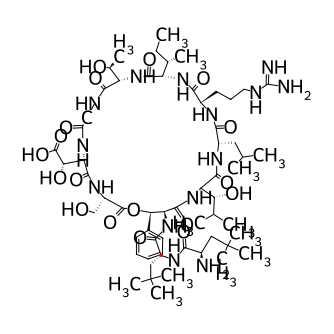 CC[C@H](C)[C@@H]1NC(=O)[C@@H](CCCNC(=N)N)NC(=O)[C@H](CC(C)C)NC(=O)[C@H]([C@H](O)C(C)C)NC(=O)[C@@H](NC(=O)[C@@H](CC(C)(C)C)NC(=O)[C@H](N)CC(C)(C)C)[C@@H](c2ccccc2)OC(=O)[C@H](CO)NC(=O)[C@H]([C@H](O)C(=O)O)NC(=O)CNC(=O)[C@H]([C@H](C)O)NC1=O